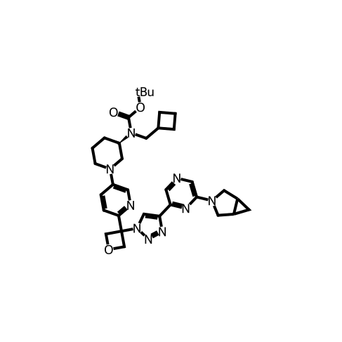 CC(C)(C)OC(=O)N(CC1CCC1)[C@@H]1CCCN(c2ccc(C3(n4cc(-c5cncc(N6CC7CC7C6)n5)nn4)COC3)nc2)C1